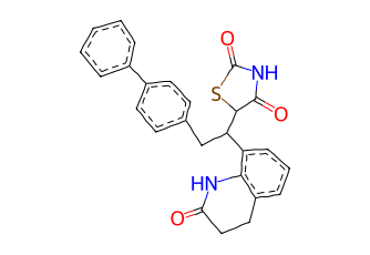 O=C1CCc2cccc(C(Cc3ccc(-c4ccccc4)cc3)C3SC(=O)NC3=O)c2N1